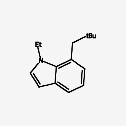 CCn1ccc2cccc(CC(C)(C)C)c21